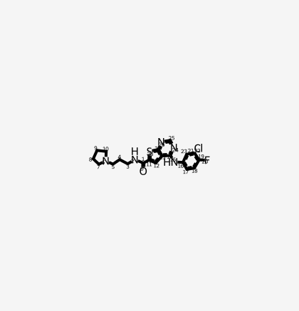 O=C(NCCCN1CCCC1)c1cc2c(Nc3ccc(F)c(Cl)c3)ncnc2s1